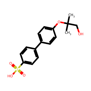 CC(C)(CO)Oc1ccc(-c2ccc(S(=O)(=O)O)cc2)cc1